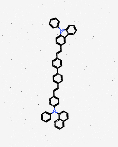 C(=Cc1ccc(N(c2ccccc2)c2cccc3ccccc23)cc1)c1ccc(-c2ccc(/C=C/c3ccc4c(c3)c3ccccc3n4-c3ccccc3)cc2)cc1